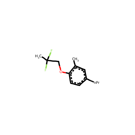 [CH2]CCc1ccc(OCC(C)(F)F)c(C)c1